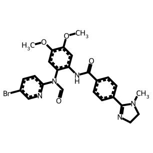 COc1cc(NC(=O)c2ccc(C3=NCCN3C)cc2)c(N(C=O)c2ccc(Br)cn2)cc1OC